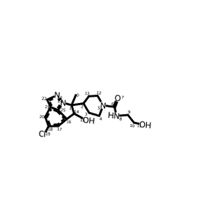 CC1(C2CCN(C(=O)NCCO)CC2)C(O)c2cc(Cl)cc3cnn1c23